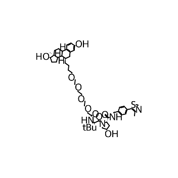 Cc1ncsc1-c1ccc(CNC(=O)[C@@H]2C[C@@H](O)CN2C(=O)[C@@H](NC(=O)COCCOCCOCCOCCCC[C@@H]2Cc3cc(O)ccc3[C@H]3CC[C@]4(C)[C@@H](O)CC[C@H]4[C@H]23)C(C)(C)C)cc1